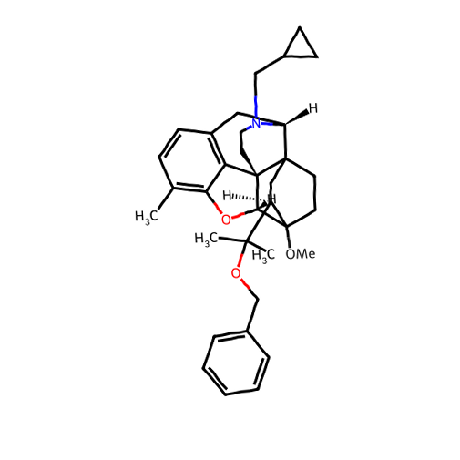 COC12CCC3(C[C@@H]1C(C)(C)OCc1ccccc1)[C@H]1Cc4ccc(C)c5c4[C@@]3(CCN1CC1CC1)[C@H]2O5